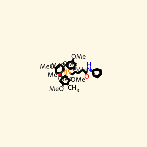 COC1=CC(OC)=C([PH](CCCCC(=O)Nc2ccccc2)(C2=C(OC)C=C(OC)C[C@@H]2OC)C2=C(OC)C=C(OC)C(C)[C@@H]2OC)[C@@H](OC)C1